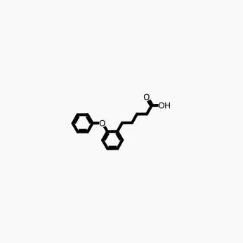 O=C(O)CCCCc1ccccc1Oc1ccccc1